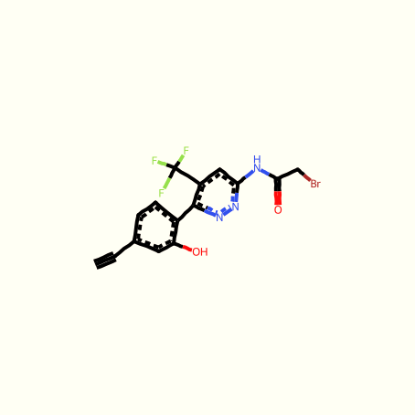 C#Cc1ccc(-c2nnc(NC(=O)CBr)cc2C(F)(F)F)c(O)c1